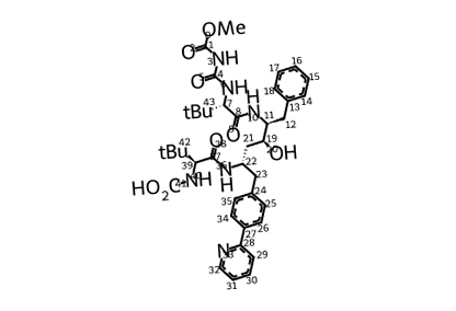 COC(=O)NC(=O)N[C@H](C(=O)N[C@@H](Cc1ccccc1)[C@@H](O)C[C@H](Cc1ccc(-c2ccccn2)cc1)NC(=O)[C@@H](NC(=O)O)C(C)(C)C)C(C)(C)C